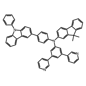 CC1(C)c2ccccc2-c2ccc(N(c3ccc(-c4ccc5c(c4)c4ccccc4n5-c4ccccc4)cc3)c3cc(-c4cccnc4)cc(-c4cccnc4)c3)cc21